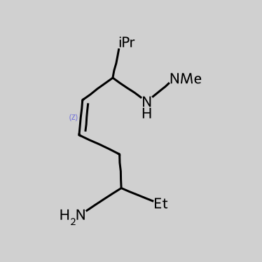 CCC(N)C/C=C\C(NNC)C(C)C